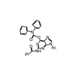 CC(=O)n1cnc2c(OC(=O)N(c3ccccc3)c3ccccc3)nc(NC(=O)C(C)C)nc21